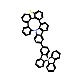 c1ccc2c(c1)-c1ccccc1[Si]21c2ccccc2-c2cc(-c3ccc4c(c3)c3cccc5c6cccc7sc8cccc(c9ccccc9n4c53)c8c76)ccc21